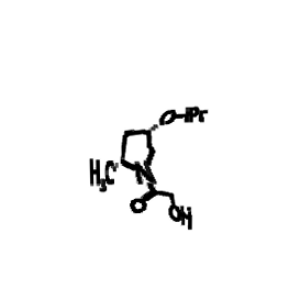 CC(C)O[C@H]1C[C@@H](C)N(C(=O)CO)C1